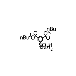 CCCCC(C)OC(=O)c1cc(C(=O)OC(C)CCCC)cc(S(=O)(=O)O)c1.[BaH2]